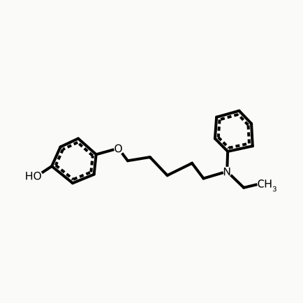 CCN(CCCCCOc1ccc(O)cc1)c1ccccc1